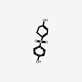 O=S(=O)(C1=CC=C(O)CC1)c1ccc(O)cc1